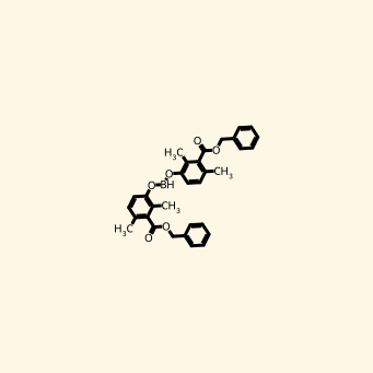 Cc1ccc(OBOc2ccc(C)c(C(=O)OCc3ccccc3)c2C)c(C)c1C(=O)OCc1ccccc1